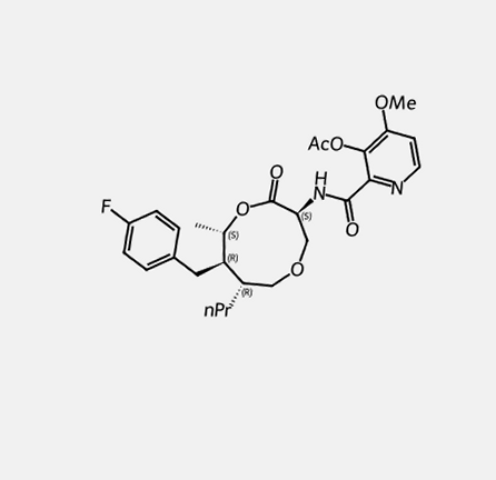 CCC[C@H]1COC[C@H](NC(=O)c2nccc(OC)c2OC(C)=O)C(=O)O[C@@H](C)[C@@H]1Cc1ccc(F)cc1